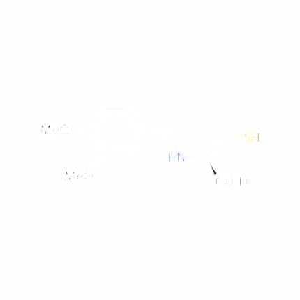 COc1ccc(CN[C@@H](CS)C(=O)O)cc1OC